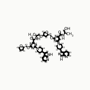 C[C@H](CO)NC(=O)c1cc(N2CCC(c3n[nH]c4ncccc34)CC2)nc(OC[C@@H]2CC(OC[C@@H](C)NC(=O)c3nc(OC[C@@H]4CCCO4)nc(N4CCC(c5c[nH]c6ncccc56)CC4)n3)CO2)n1